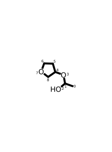 CC(O)OC1CCOC1